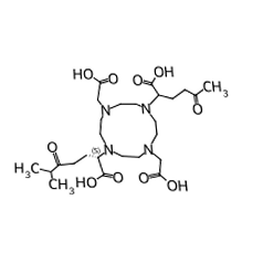 CC(=O)CCC(C(=O)O)N1CCN(CC(=O)O)CCN([C@@H](CCC(=O)C(C)C)C(=O)O)CCN(CC(=O)O)CC1